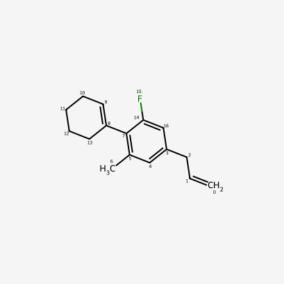 C=CCc1cc(C)c(C2=CCCCC2)c(F)c1